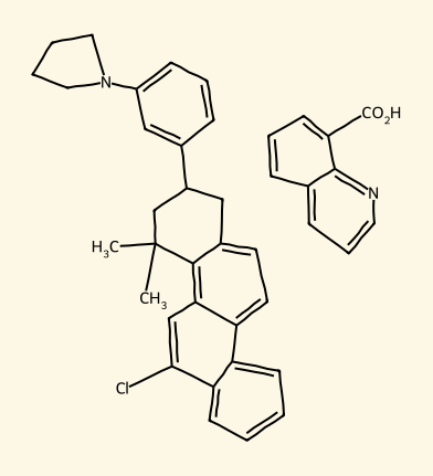 CC1(C)CC(c2cccc(N3CCCC3)c2)Cc2ccc3c(cc(Cl)c4ccccc43)c21.O=C(O)c1cccc2cccnc12